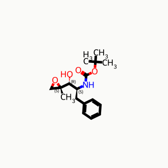 CC(C)(C)OC(=O)N[C@@H](Cc1ccccc1)[C@@H](O)[C@]1(C)CO1